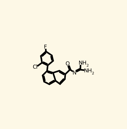 NC(N)=NC(=O)c1ccc2cccc(-c3ccc(F)cc3Cl)c2c1